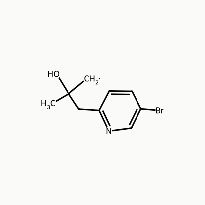 [CH2]C(C)(O)Cc1ccc(Br)cn1